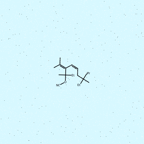 CCC(C)(OC#N)C(/C=C\CC(C)(CC)C(C)C)=C(C)C